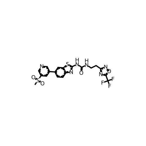 CS(=O)(=O)c1cncc(-c2ccc3nc(NC(=O)NCCc4noc(C(F)(F)F)n4)sc3c2)c1